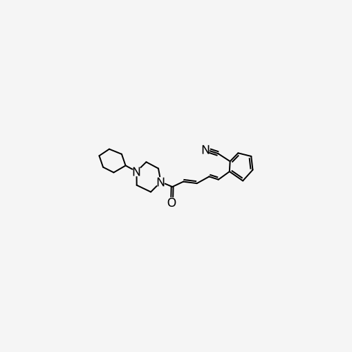 N#Cc1ccccc1/C=C/C=C/C(=O)N1CCN(C2CCCCC2)CC1